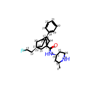 C[C@H]1C[C@@H](NC(=O)C23CC4C[C@@](CCF)(C2)C[C@@]4(c2ccccc2)C3)CCN1